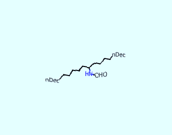 CCCCCCCCCCCCCCCC(CCCCCCCCCCCCCC)NC=O